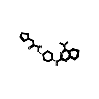 CN(C)c1nc(N[C@H]2CC[C@@H](CNC(=O)CC3C=CCC3)CC2)nc2ccccc12